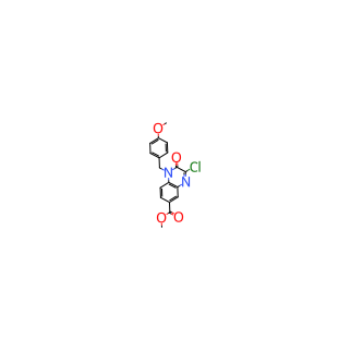 COC(=O)c1ccc2c(c1)nc(Cl)c(=O)n2Cc1ccc(OC)cc1